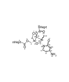 CCCCCCCC(=O)OC[C@@]1(CCl)O[C@@H](n2ccc(N)nc2=O)[C@H](F)[C@@H]1OC(=O)CCCCCCC